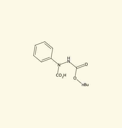 CCCCOC(=O)NN(C(=O)O)c1ccccc1